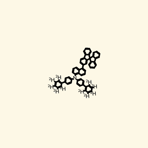 [2H]c1c([2H])c([2H])c(-c2ccc(N(c3ccc(-c4c([2H])c([2H])c([2H])c([2H])c4[2H])cc3)c3cccc4c(-c5ccc6c(c5)C5(c7ccccc7-c7ccccc75)c5ccccc5-6)cccc34)cc2)c([2H])c1[2H]